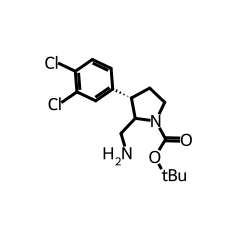 CC(C)(C)OC(=O)N1CC[C@@H](c2ccc(Cl)c(Cl)c2)C1CN